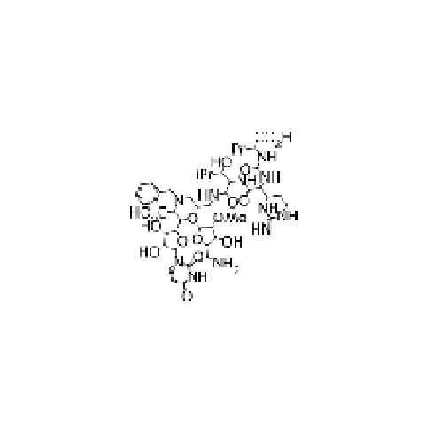 CO[C@H]1[C@@H](OC(C(C(=O)O)N(CCCNC(=O)C(NC(=O)C(NC(=O)NC(C(=O)O)C(C)C)C2CCNC(=N)N2)C(O)C(C)C)Cc2ccccc2)[C@H]2O[C@@H](n3ccc(=O)[nH]c3=O)[C@H](O)[C@@H]2O)O[C@H](CN)[C@@H]1O